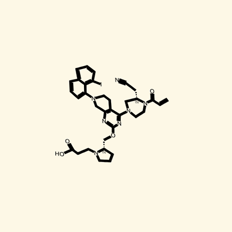 C=CC(=O)N1CCN(c2nc(OC[C@@H]3CCCN3CCC(=O)O)nc3c2CCN(c2cccc4cccc(I)c24)C3)C[C@@H]1CC#N